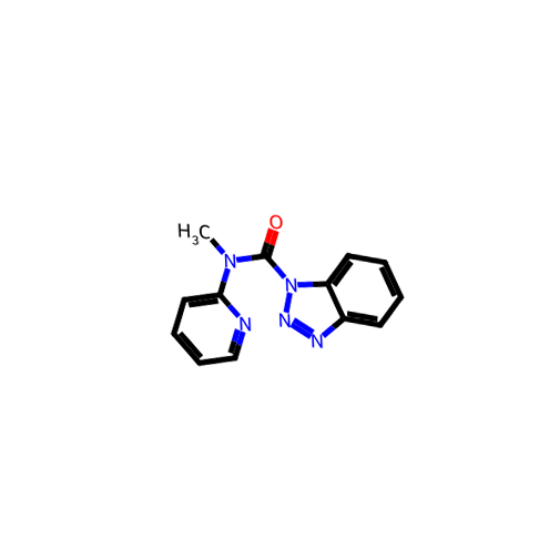 CN(C(=O)n1nnc2ccccc21)c1ccccn1